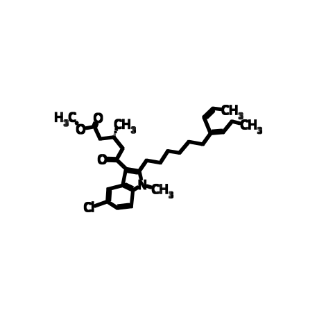 C/C=C\C(=C/CC)CCCCCCc1c(C(=O)C[C@@H](C)CC(=O)OC)c2cc(Cl)ccc2n1C